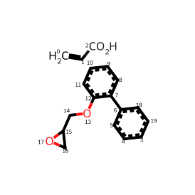 C=CC(=O)O.c1ccc(-c2ccccc2OCC2CO2)cc1